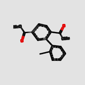 COC(=O)c1ccc(C(=O)OC)c(-c2ccccc2C)c1